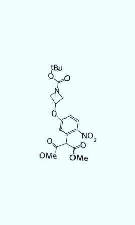 COC(=O)C(C(=O)OC)c1cc(OC2CN(C(=O)OC(C)(C)C)C2)ccc1[N+](=O)[O-]